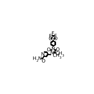 CC1(C)C(=O)N(c2ccc(S(=O)(=O)C(F)(F)F)cc2)C(=O)N1Cc1ccnc(C(N)=O)c1